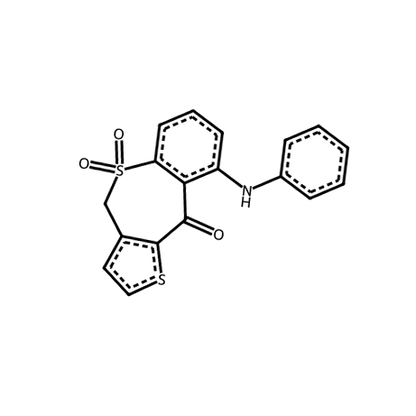 O=C1c2sccc2CS(=O)(=O)c2cccc(Nc3ccccc3)c21